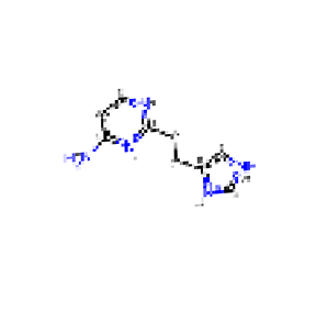 Nc1ccnc(CCc2c[nH]cn2)n1